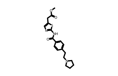 COC(=O)Cc1cnc(NC(=O)c2ccc(CCN3CCCC3)cc2)s1